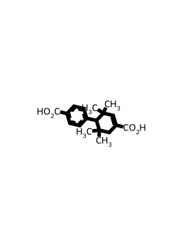 CC1(C)C=C(C(=O)O)CC(C)(C)C1c1ccc(C(=O)O)cc1